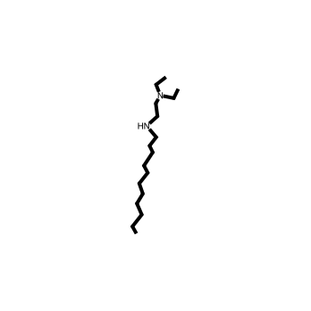 CCCCCCCCCCCNCCN(CC)CC